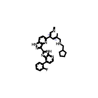 C=N/C=C(\C=C(/C)CNCC1CCCC1)c1ccc2[nH]nc(-c3nc4c(-c5ccccc5F)ccnc4[nH]3)c2n1